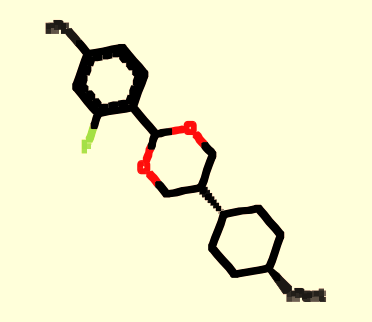 CCCCC[C@H]1CC[C@H](C2COC(c3ccc(CCC)cc3F)OC2)CC1